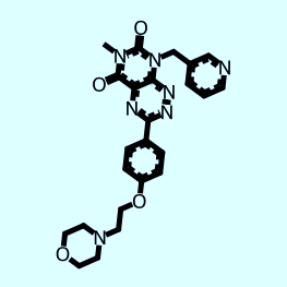 Cn1c(=O)c2nc(-c3ccc(OCCN4CCOCC4)cc3)nnc2n(Cc2cccnc2)c1=O